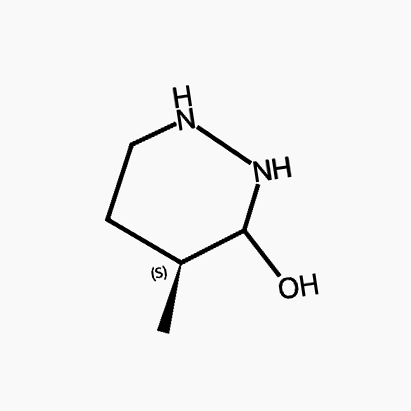 C[C@H]1CCNNC1O